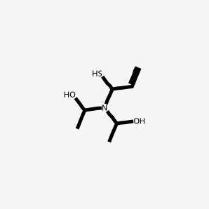 C=CC(S)N(C(C)O)C(C)O